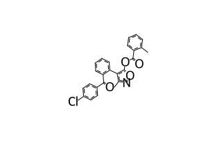 Cc1ccccc1C(=O)Oc1onc(C)c1-c1ccccc1C(=O)c1ccc(Cl)cc1